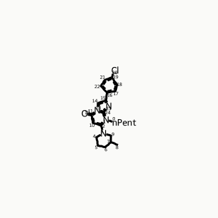 CCCCCn1c(N2CCCC(C)C2)cc(=O)n2cc(-c3ccc(Cl)cc3)nc12